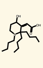 CCCCN1CCC(O)C(=CC(=O)O)C1(CCCC)CCCC